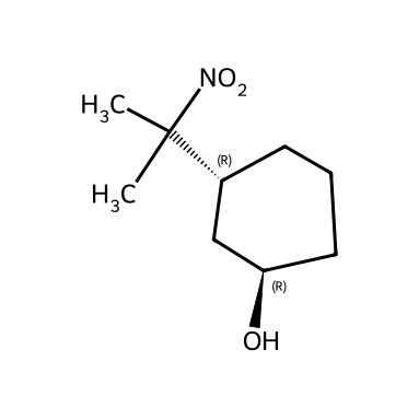 CC(C)([C@@H]1CCC[C@@H](O)C1)[N+](=O)[O-]